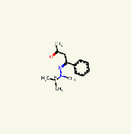 CC(=O)CC(=NN(C)[SiH](C)C)c1ccccc1